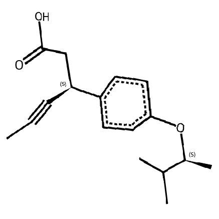 CC#C[C@@H](CC(=O)O)c1ccc(O[C@@H](C)C(C)C)cc1